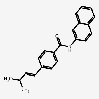 CC(C)C=Cc1ccc(C(=O)Nc2ccc3ccccc3c2)cc1